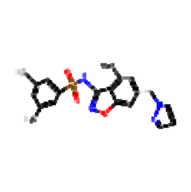 COc1cc(Cn2cccn2)cc2onc(NS(=O)(=O)c3cc(C)cc(C)c3)c12